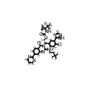 CC(C)(C)CCNC(=N)N(C(=O)c1ccc(-c2ncccn2)cc1)[C@H](COC(=O)NC1(C(F)(F)F)CC1)c1ccc(Cl)c(-c2ncn[nH]2)c1